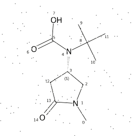 CN1C[C@@H](N(C(=O)O)C(C)(C)C)CC1=O